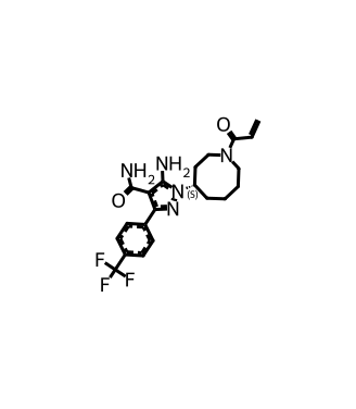 C=CC(=O)N1CCCC[C@H](n2nc(-c3ccc(C(F)(F)F)cc3)c(C(N)=O)c2N)CC1